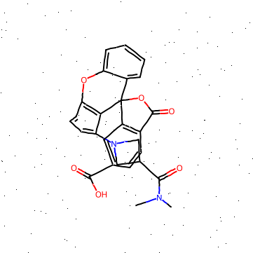 CN(C)C(=O)C1CN(c2cccc3c2C2(OC(=O)c4ccc(C(=O)O)cc42)c2ccccc2O3)C1